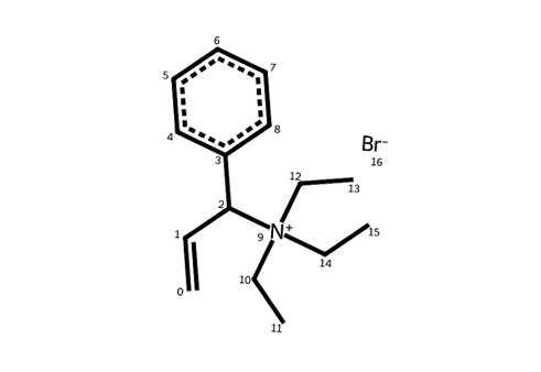 C=CC(c1ccccc1)[N+](CC)(CC)CC.[Br-]